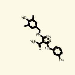 Cc1cc(CNc2[nH]nc(Nc3cccc(C#N)c3)c2C(N)=O)cc(C)c1O